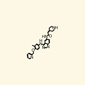 Cc1cc(Nc2ncnc3ccc(NC(=O)C=C4CCNCC4)cc23)ccc1OCc1ccccn1